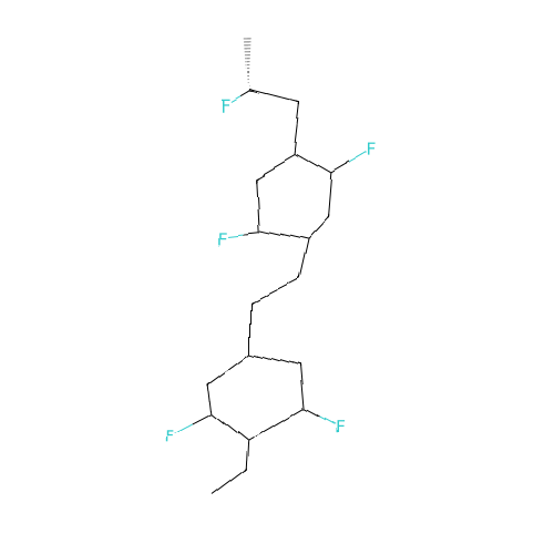 CCC1C(F)CC(CCC2CC(F)C(C[C@@H](C)F)CC2F)CC1F